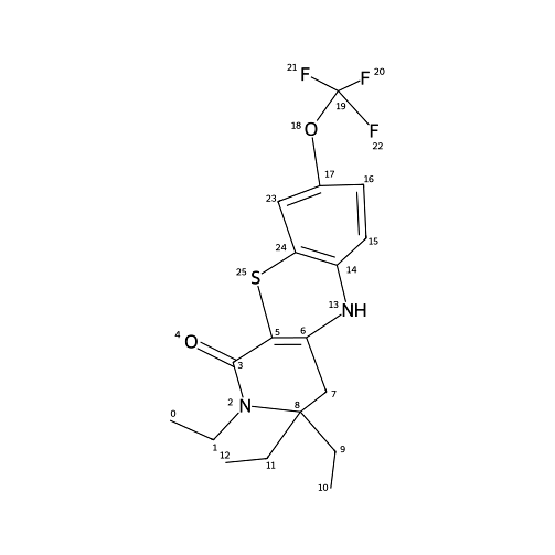 CCN1C(=O)C2=C(CC1(CC)CC)Nc1ccc(OC(F)(F)F)cc1S2